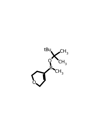 CB(OC(C)(C)C(C)(C)C)C1=CCOCC1